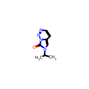 CC(C)n1cc2ccnnn2c1=O